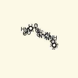 O=C(c1ccc2[nH]c(=O)oc2c1)N1CC2(CC(c3cnc(NC4Cc5ccccc5C4)nc3)=NO2)C1